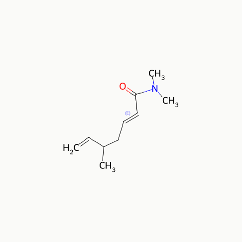 C=CC(C)C/C=C/C(=O)N(C)C